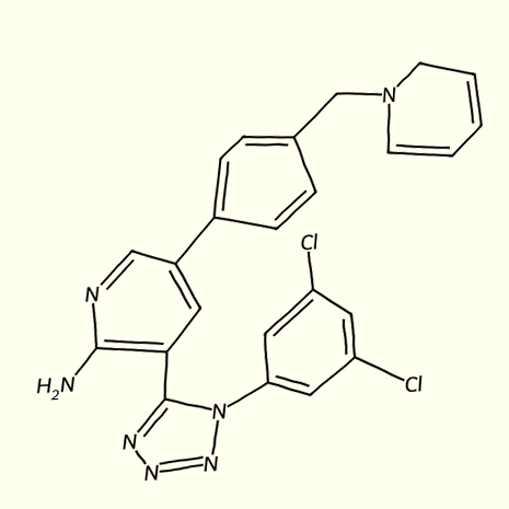 Nc1ncc(-c2ccc(CN3C=CC=CC3)cc2)cc1-c1nnnn1-c1cc(Cl)cc(Cl)c1